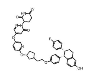 O=C1CCC(n2ncc(Oc3ccc(O[C@H]4CCN(CCOc5ccc([C@H]6c7ccc(O)cc7CC[C@H]6c6ccc(F)cc6)cc5)C4)nc3)cc2=O)C(=O)N1